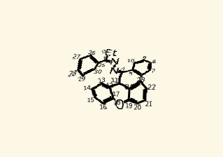 CCC(=NN=C(c1ccccc1)C1c2ccccc2Oc2ccccc21)c1ccccc1